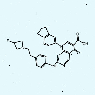 O=C(O)c1cn(-c2ccc3c(c2)CCC3)c2nc(Nc3ccc(CCN4CC(F)C4)cc3)ncc2c1=O